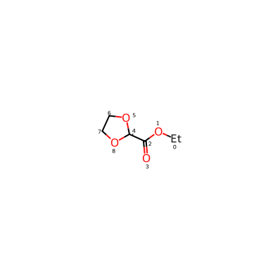 CCOC(=O)[C]1OCCO1